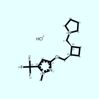 Cl.Cn1nc(OC[C@@H]2CC[C@@H]2CN2CCCC2)cc1C(F)(F)F